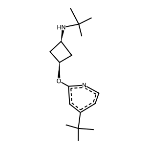 CC(C)(C)N[C@H]1C[C@@H](Oc2cc(C(C)(C)C)ccn2)C1